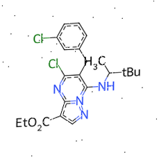 CCOC(=O)c1cnn2c(NC(C)C(C)(C)C)c(Cc3cccc(Cl)c3)c(Cl)nc12